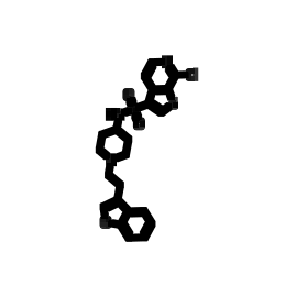 O=S(=O)(NC1CCN(CCc2coc3ccccc23)CC1)c1csc2c(Cl)nccc12